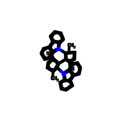 Cc1ccc(C#N)c(-c2c(C#N)ccc(C)c2-n2c3ccccc3c3ccccc32)c1-n1c2ccccc2c2ccccc21